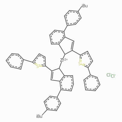 CCC(C)c1ccc(-c2cccc3c2C=C(c2ccc(-c4ccccc4)s2)[CH]3[Zr+2][CH]2C(c3ccc(-c4ccccc4)s3)=Cc3c(-c4ccc(C(C)CC)cc4)cccc32)cc1.[Cl-].[Cl-]